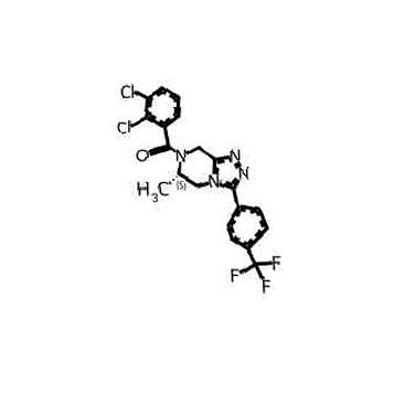 C[C@H]1Cn2c(nnc2-c2ccc(C(F)(F)F)cc2)CN1C(=O)c1cccc(Cl)c1Cl